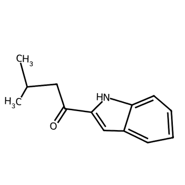 CC(C)CC(=O)c1cc2ccccc2[nH]1